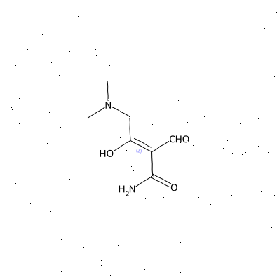 CN(C)C/C(O)=C(\C=O)C(N)=O